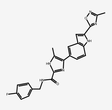 Cc1noc(-c2cc3cc(-c4nc(C(=O)NCc5ccc(F)cc5)[nH]c4C)ccc3[nH]2)n1